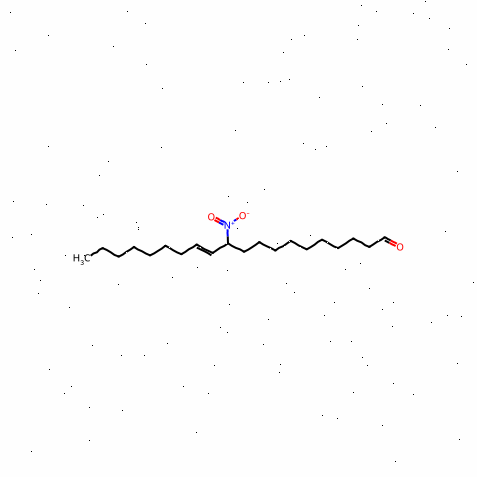 CCCCCCC/C=C/C(CCCCCCCCCC=O)[N+](=O)[O-]